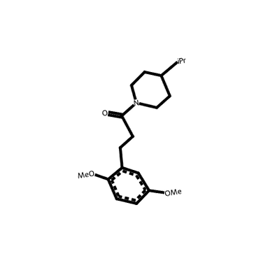 COc1ccc(OC)c(CCC(=O)N2CCC(C(C)C)CC2)c1